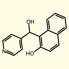 Oc1ccc2ccccc2c1C(O)c1ccncc1